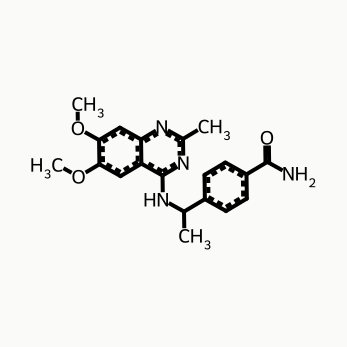 COc1cc2nc(C)nc(NC(C)c3ccc(C(N)=O)cc3)c2cc1OC